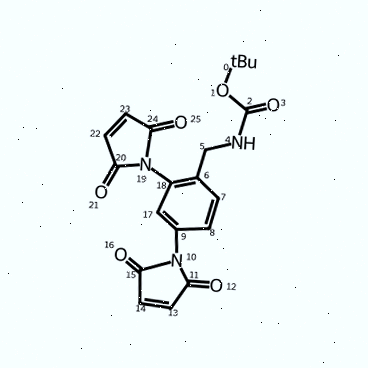 CC(C)(C)OC(=O)NCc1ccc(N2C(=O)C=CC2=O)cc1N1C(=O)C=CC1=O